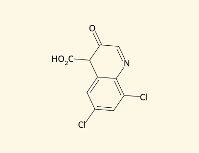 O=C(O)C1C(=O)C=Nc2c(Cl)cc(Cl)cc21